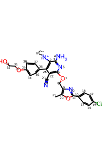 [C-]#[N+]c1c(N)nc(OCc2nc(-c3ccc(Cl)cc3)oc2C)c(C#N)c1-c1ccc(OCCO)cc1